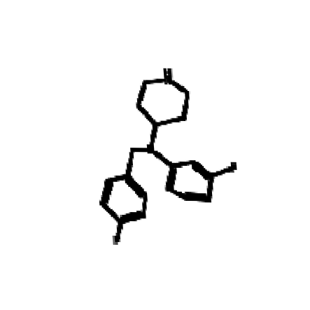 Fc1ccc(CN(c2cccc(F)c2)C2CCNCC2)cc1